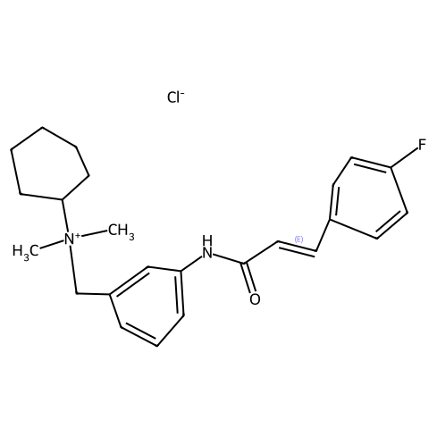 C[N+](C)(Cc1cccc(NC(=O)/C=C/c2ccc(F)cc2)c1)C1CCCCC1.[Cl-]